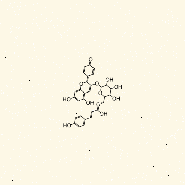 O=C1C=CC(=C2Oc3cc(O)cc(O)c3C=C2OC2OC(C[O+]=C(O)C=Cc3ccc(O)cc3)C(O)C(O)C2O)C=C1